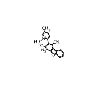 Cc1ccc(-c2c(C)cc3oc4ccccc4c3c2C#N)[n+](C)c1